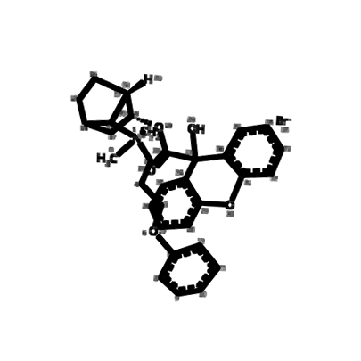 C[N+](C)(CCCOc1ccccc1)C1C2CC[C@@H]1[C@H](OC(=O)C1(O)c3ccccc3Oc3ccccc31)C2.[Br-]